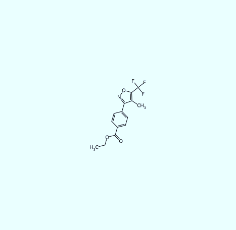 CCOC(=O)c1ccc(-c2noc(C(F)(F)F)c2C)cc1